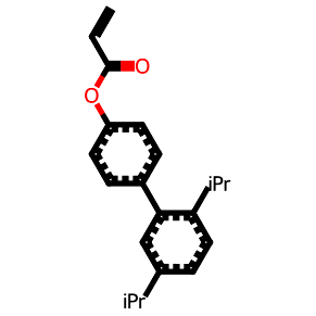 C=CC(=O)Oc1ccc(-c2cc(C(C)C)ccc2C(C)C)cc1